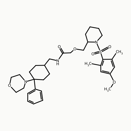 COc1cc(C)c(S(=O)(=O)N2CCCCC2COCC(=O)NCC2CCC(c3ccccc3)(N3CCOCC3)CC2)c(C)c1